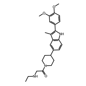 CCNCC(=O)N1CCC(c2ccc3[nH]c(-c4ccc(OC)c(OC)c4)c(C)c3c2)CC1